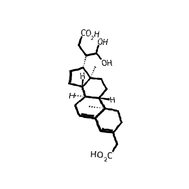 C[C@]12CC[C@H]3[C@@H](CC=C4C=C(CC(=O)O)CC[C@@]43C)[C@@H]1CC[C@@H]2C(CC(=O)O)C(O)O